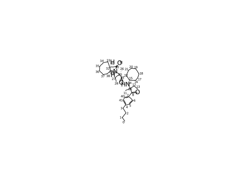 CCCCc1ccc(C(=O)C(C)(CC)N[C@H]2CCCCCC[C@H]2C(=O)[C@@](C)(CC)N2C(=O)[C@@H]3CCCCCC[C@@H]32)cc1